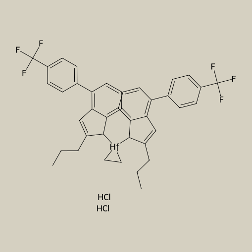 CCCC1=Cc2c(-c3ccc(C(F)(F)F)cc3)cccc2[CH]1[Hf]1([CH]2C(CCC)=Cc3c(-c4ccc(C(F)(F)F)cc4)cccc32)[CH2][CH2]1.Cl.Cl